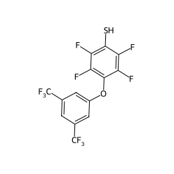 Fc1c(F)c(Oc2cc(C(F)(F)F)cc(C(F)(F)F)c2)c(F)c(F)c1S